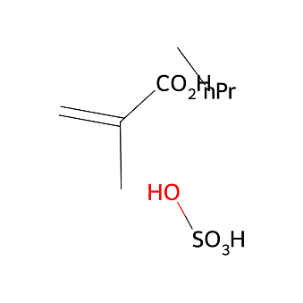 C=C(C)C(=O)O.CCCC.O=S(=O)(O)O